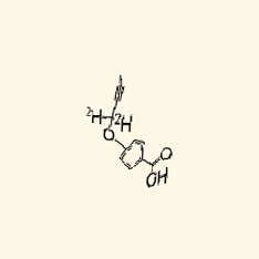 [2H]C([2H])(C#CC)Oc1ccc(C(=O)O)cc1